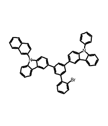 Brc1ccccc1-c1cc(-c2ccc3c(c2)c2ccccc2n3-c2ccccc2)cc(-c2ccc3c(c2)c2ccccc2n3-c2ccc3ccccc3c2)c1